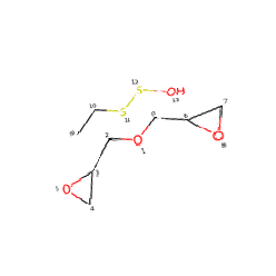 C(OCC1CO1)C1CO1.CCSSO